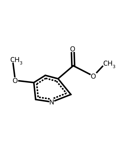 COC(=O)c1cncc(OC)c1